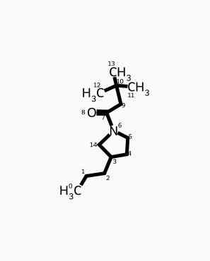 CCCC1CCN(C(=O)CC(C)(C)C)C1